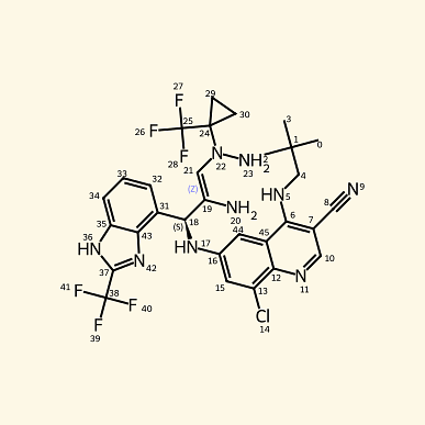 CC(C)(C)CNc1c(C#N)cnc2c(Cl)cc(N[C@H](/C(N)=C/N(N)C3(C(F)(F)F)CC3)c3cccc4[nH]c(C(F)(F)F)nc34)cc12